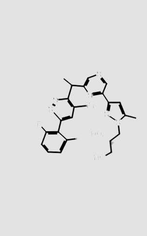 Cc1cc(-c2cncc(C(C)c3nnc(-c4c(F)cccc4F)cc3C(C)C)n2)nn1C[C@@H](O)CO